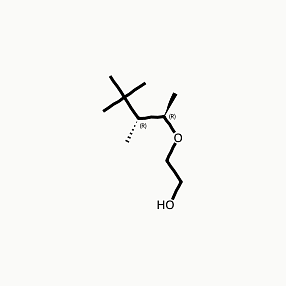 C[C@@H](OCCO)[C@H](C)C(C)(C)C